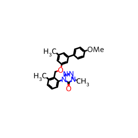 COc1ccc(-c2cc(C)cc(OCc3c(C)cccc3-n3nnn(C)c3=O)c2)cc1